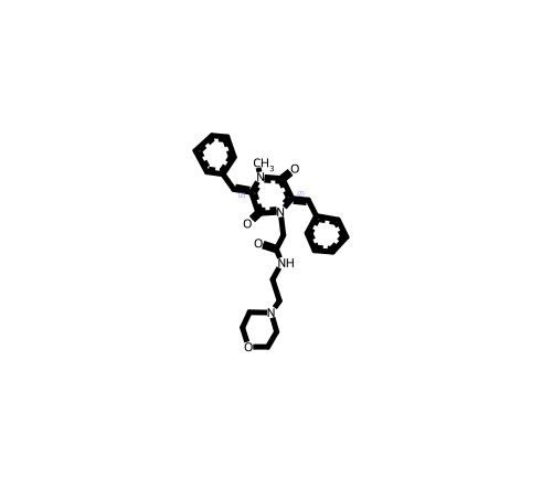 Cn1c(=O)/c(=C/c2ccccc2)n(CC(=O)NCCN2CCOCC2)c(=O)/c1=C/c1ccccc1